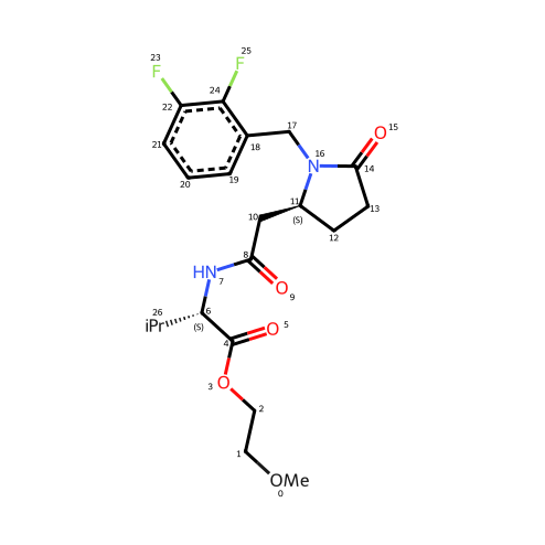 COCCOC(=O)[C@@H](NC(=O)C[C@@H]1CCC(=O)N1Cc1cccc(F)c1F)C(C)C